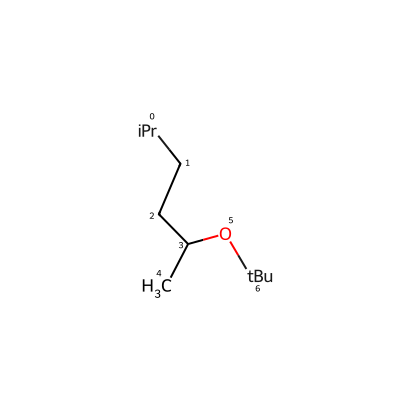 CC(C)CCC(C)OC(C)(C)C